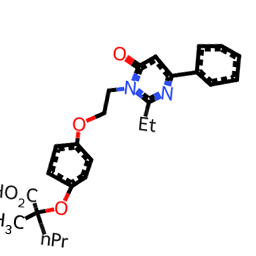 CCCC(C)(Oc1ccc(OCCn2c(CC)nc(-c3ccccc3)cc2=O)cc1)C(=O)O